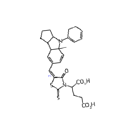 CC12C=CC(/C=C3/SC(=S)N(C(CCC(=O)O)C(=O)O)C3=O)=CC1C1CCCC1N2C1=CC=CCC1